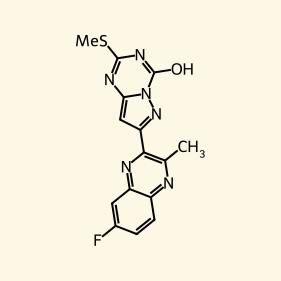 CSc1nc(O)n2nc(-c3nc4cc(F)ccc4nc3C)cc2n1